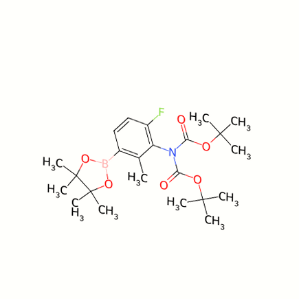 Cc1c(B2OC(C)(C)C(C)(C)O2)ccc(F)c1N(C(=O)OC(C)(C)C)C(=O)OC(C)(C)C